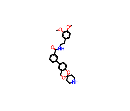 COc1ccc(CCNC(=O)c2cccc(-c3ccc4c(c3)COC3(CCNCC3)O4)c2)cc1OC